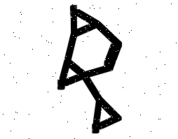 C1=CC2(C3CS3)SC2C2SC12